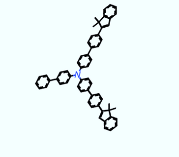 CC1(C)C(c2ccc(-c3ccc(N(c4ccc(-c5ccccc5)cc4)c4ccc(-c5ccc(C6=Cc7ccccc7C6(C)C)cc5)cc4)cc3)cc2)=Cc2ccccc21